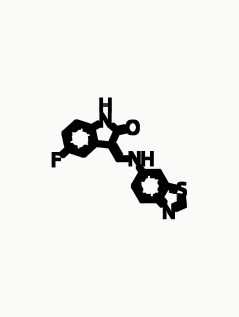 O=C1Nc2ccc(F)cc2C1=CNc1ccc2ncsc2c1